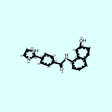 O=C(Nc1cccc2ccc(O)cc12)c1ccc(-c2ncc[nH]2)cc1